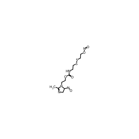 CC1=NCC(N=O)N1CCOC(=O)NCCSSCCON=O